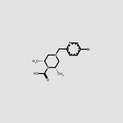 C[C@@H]1CN(Cc2ccc(Br)cn2)C[C@H](C)N1C(=O)O